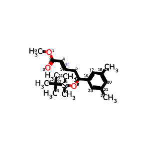 COC(=O)/C=C/CC(O[Si](C)(C)C(C)(C)C)c1cc(C)cc(C)c1